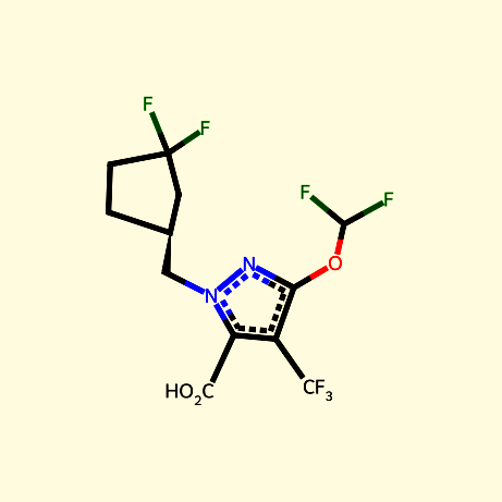 O=C(O)c1c(C(F)(F)F)c(OC(F)F)nn1C[C@H]1CCC(F)(F)C1